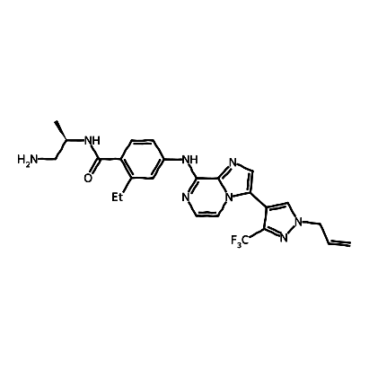 C=CCn1cc(-c2cnc3c(Nc4ccc(C(=O)N[C@H](C)CN)c(CC)c4)nccn23)c(C(F)(F)F)n1